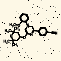 COc1ccccc1N1C=C(OC2CC(C)(C)OC(C)(C)C2)N=C(c2ccc(C#N)cc2)C1